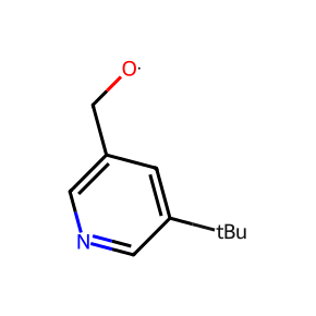 CC(C)(C)c1cncc(C[O])c1